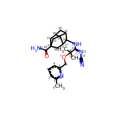 Cc1cccc(COC(C)(C)/C(=N\C#N)NC2C3CC4CC2CC(C(N)=O)(C4)C3)n1